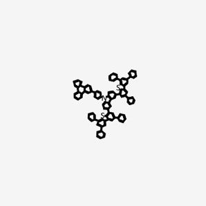 c1ccc(-c2cc(-c3ccccc3)c3sc4c(-c5ccc6c(c5)c5cc(-c7cc(-c8ccccc8)cc8c7sc7c(-c9ccccc9)cc(-c9ccccc9)cc78)ccc5n6-c5ccc(-c6ccc7c8ccccc8c8ccccc8c7c6)cc5)cc(-c5ccccc5)cc4c3c2)cc1